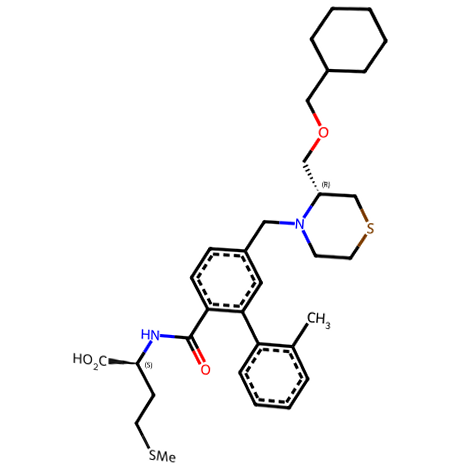 CSCC[C@H](NC(=O)c1ccc(CN2CCSC[C@H]2COCC2CCCCC2)cc1-c1ccccc1C)C(=O)O